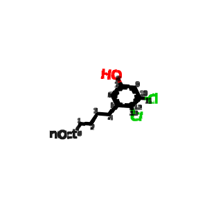 CCCCCCCCCCCCc1cc(O)cc(Cl)c1Cl